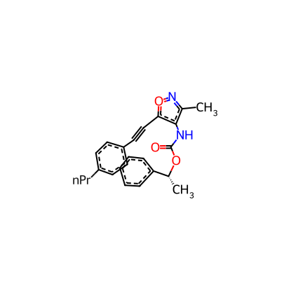 CCCc1ccc(C#Cc2onc(C)c2NC(=O)O[C@H](C)c2ccccc2)cc1